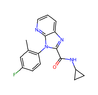 Cc1cc(F)ccc1-n1c(C(=O)NC2CC2)nc2cccnc21